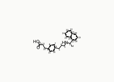 C[C@@H](NCCCc1ccc(CCC(=O)O)cc1)c1cccc2ccccc12